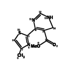 COC(=O)C1=C(c2nc(C)cs2)N=CNC1